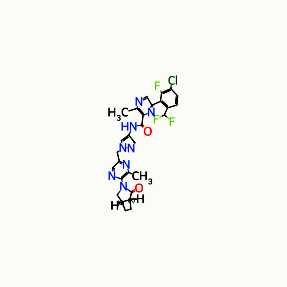 Cc1ncc(-c2c(C(F)F)ccc(Cl)c2F)nc1C(=O)Nc1cnn(Cc2cnc(N3C[C@H]4CC[C@H]4C3=O)c(C)n2)c1